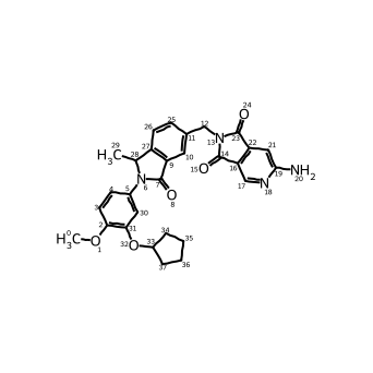 COc1ccc(N2C(=O)c3cc(CN4C(=O)c5cnc(N)cc5C4=O)ccc3C2C)cc1OC1CCCC1